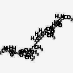 CC1=C(/C=C/C(C)=C/C=C/C(C)=C/C=C/C=C(C)/C=C/C=C(C)/C=C/C2=C(C)C(=O)C(OC(=O)CCCNC(=O)NCCCC(N)C(=O)O)CC2(C)C)C(C)(C)CC(OC(=O)CCCNC(=O)NCCCC(N)C(=O)O)C1=O